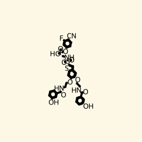 N#Cc1ccc(OP(=O)(O)CNS(=O)(=O)c2cc3cc(OCCNC(=O)c4cccc(O)c4)c(OCCNC(=O)c4cccc(O)c4)cc3s2)cc1F